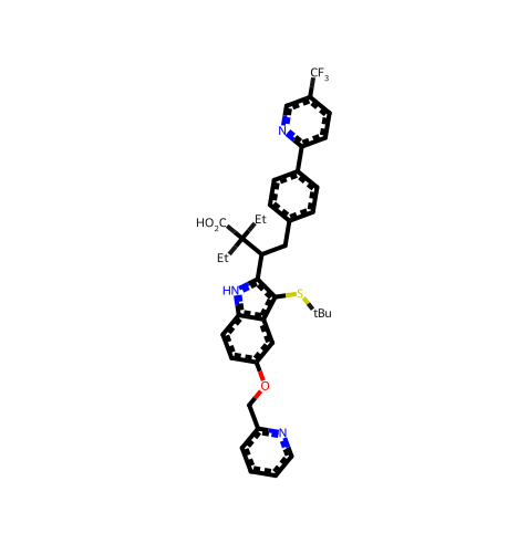 CCC(CC)(C(=O)O)C(Cc1ccc(-c2ccc(C(F)(F)F)cn2)cc1)c1[nH]c2ccc(OCc3ccccn3)cc2c1SC(C)(C)C